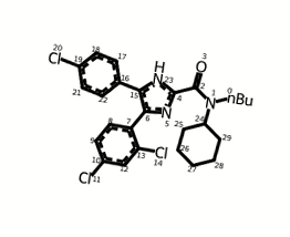 CCCCN(C(=O)c1nc(-c2ccc(Cl)cc2Cl)c(-c2ccc(Cl)cc2)[nH]1)C1CCCCC1